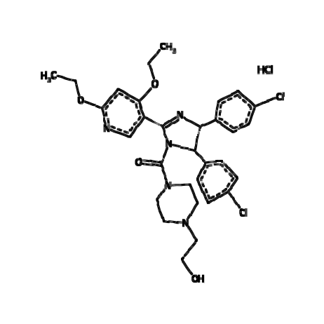 CCOc1cc(OCC)c(C2=NC(c3ccc(Cl)cc3)C(c3ccc(Cl)cc3)N2C(=O)N2CCN(CCO)CC2)cn1.Cl